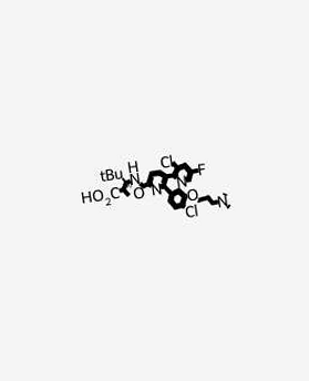 CC(C(=O)O)[C@H](NC(=O)c1ccc(-c2ncc(F)cc2Cl)c(-c2ccc(Cl)c(OCCCN(C)C)c2)n1)C(C)(C)C